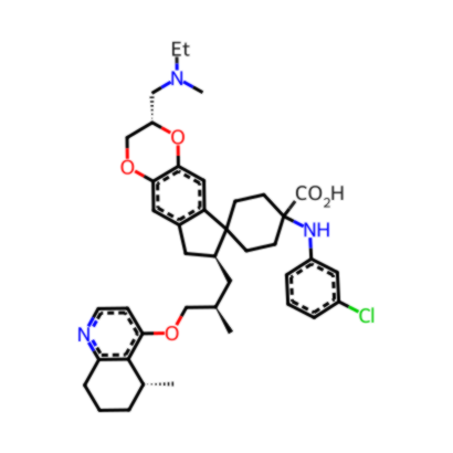 CCN(C)C[C@H]1COc2cc3c(cc2O1)C1(CCC(Nc2cccc(Cl)c2)(C(=O)O)CC1)[C@@H](C[C@@H](C)COc1ccnc2c1[C@H](C)CCC2)C3